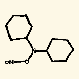 O=NON(C1CCCCC1)C1CCCCC1